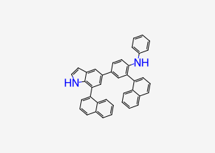 c1ccc(Nc2ccc(-c3cc(-c4cccc5ccccc45)c4[nH]ccc4c3)cc2-c2cccc3ccccc23)cc1